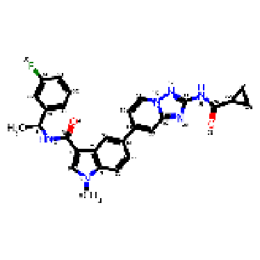 C[C@H](NC(=O)c1cn(C)c2ccc(-c3ccn4nc(NC(=O)C5CC5)nc4c3)cc12)c1cccc(F)c1